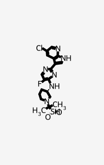 CC(C)(N1CCC[C@H](Nc2nc(-c3c[nH]c4ncc(Cl)cc34)ncc2F)C1)[SH](=O)=O